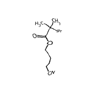 CC(C)C(C)(C)C(=O)OCCCC#N